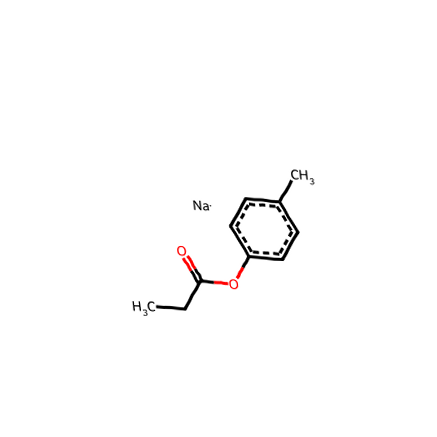 CCC(=O)Oc1ccc(C)cc1.[Na]